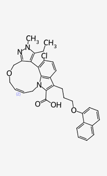 CCc1c2c(nn1C)COC/C=C\Cn1c(C(=O)O)c(CCCOc3cccc4ccccc34)c3ccc(Cl)c-2c31